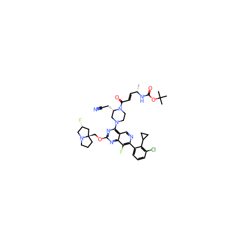 C[C@@H](/C=C/C(=O)N1CCN(c2nc(OC[C@@]34CCCN3C[C@H](F)C4)nc3c(F)c(-c4cccc(Cl)c4C4CC4)ncc23)C[C@@H]1CC#N)NC(=O)OC(C)(C)C